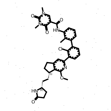 COc1nc(-c2cccc(-c3cccc(NC(=O)c4cn(C)c(=O)n(C)c4=O)c3C)c2Cl)cc2c1[C@H](CC[C@@H]1CCC(=O)N1)CC2